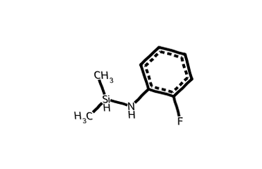 C[SiH](C)Nc1ccccc1F